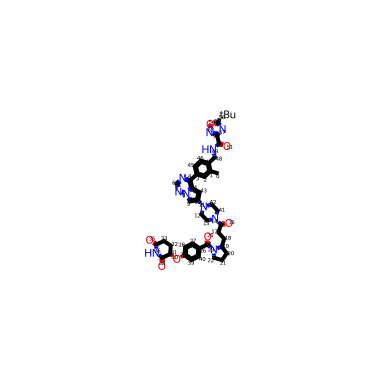 Cc1cc(-c2ncnn3cc(N4CCN(C(=O)CCC5CCCN5C(=O)c5ccc(OC6CCC(=O)NC6=O)cc5)CC4)cc23)ccc1CNC(=O)c1noc(C(C)(C)C)n1